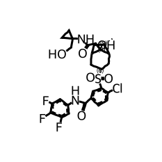 C[C@H]1CC2C[C@@H](S(=O)(=O)c3cc(C(=O)Nc4cc(F)c(F)c(F)c4)ccc3Cl)CC1[C@@]2(O)CC(=O)NC1(CO)CC1